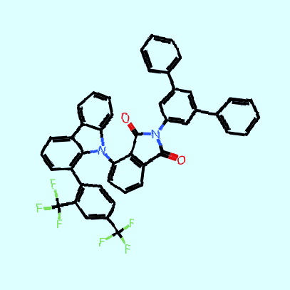 O=C1c2cccc(-n3c4ccccc4c4cccc(-c5ccc(C(F)(F)F)cc5C(F)(F)F)c43)c2C(=O)N1c1cc(-c2ccccc2)cc(-c2ccccc2)c1